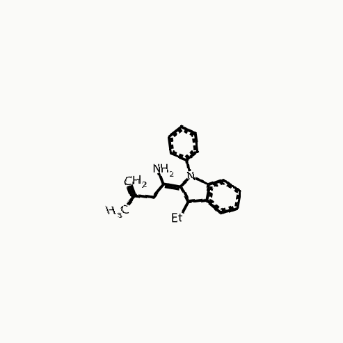 C=C(C)C/C(N)=C1\C(CC)c2ccccc2N1c1ccccc1